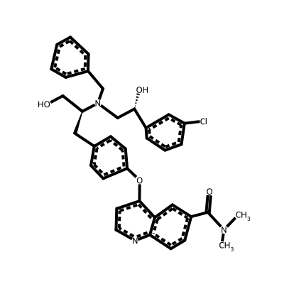 CN(C)C(=O)c1ccc2nccc(Oc3ccc(C[C@@H](CO)N(Cc4ccccc4)C[C@H](O)c4cccc(Cl)c4)cc3)c2c1